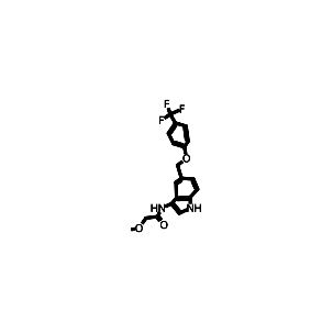 COCC(=O)Nc1c[nH]c2ccc(COc3ccc(C(F)(F)F)cc3)cc12